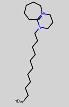 CCCCCCCCCCCCCCCCCCCCN1CCC[N+]2=C1CCCCC2